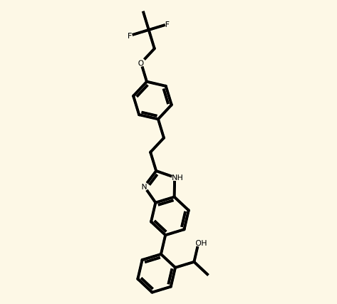 CC(O)c1ccccc1-c1ccc2[nH]c(CCc3ccc(OCC(C)(F)F)cc3)nc2c1